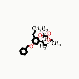 C=CCc1cc(OCc2ccccc2)cc(CC=C)c1OC(C)(C)C(=O)OCC